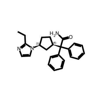 CCc1nccn1[C@H]1CC[C@@H](C(C(N)=O)(c2ccccc2)c2ccccc2)C1